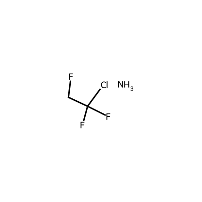 FCC(F)(F)Cl.N